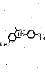 CCCCOc1ccc(NNC(C)c2ccc(OCCCC)cc2C)cc1